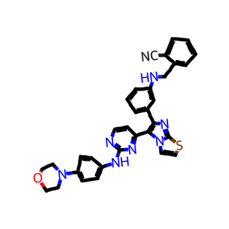 N#Cc1ccccc1CNc1cccc(-c2nc3sccn3c2-c2ccnc(Nc3ccc(N4CCOCC4)cc3)n2)c1